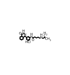 C=C(C)CNCCCCC(=O)Nc1cccc(-c2n[nH]c(=O)c3ccccc23)c1.Cl